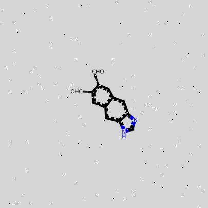 O=Cc1cc2cc3nc[nH]c3cc2cc1C=O